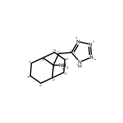 NC1(Cc2nnn[nH]2)C2CCCC1CCC2